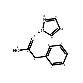 O=C(O)Cc1ccccc1.c1cnoc1